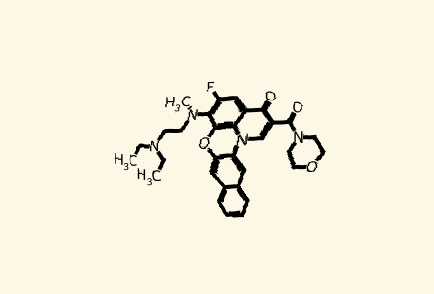 CCN(CC)CCN(C)c1c(F)cc2c(=O)c(C(=O)N3CCOCC3)cn3c2c1Oc1cc2ccccc2cc1-3